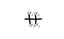 FC(F)(F)C(I)(C(F)(F)F)C(I)(C(F)(F)F)C(F)(F)F